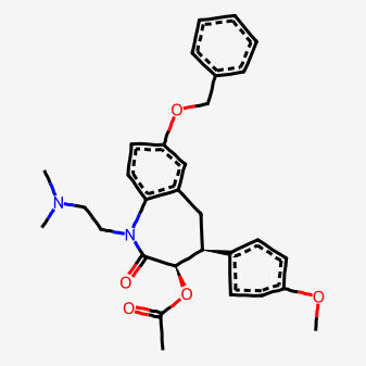 COc1ccc([C@@H]2Cc3cc(OCc4ccccc4)ccc3N(CCN(C)C)C(=O)[C@@H]2OC(C)=O)cc1